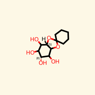 OC1C(O)[C@@H]2OC3(CCCCC3)OC2C(O)[C@@H]1O